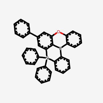 c1ccc(-c2cc3c4c(c2)[Si](c2ccccc2)(c2ccccc2)c2ccccc2B4c2ccccc2O3)cc1